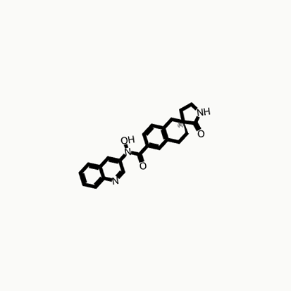 O=C(c1ccc2c(c1)CC[C@]1(CCNC1=O)C2)N(O)c1cnc2ccccc2c1